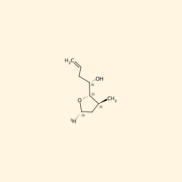 [3H][C@H]1C[C@H](C)[C@@H]([C@@H](O)CC=C)O1